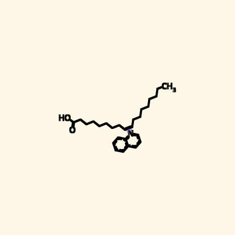 CCCCCCCC/C=C\CCCCCCCC(=O)O.c1ccc2ncccc2c1